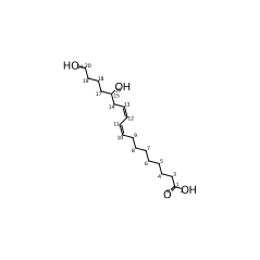 O=C(O)CCCCCCC/C=C\C=C/CC(O)CCCCO